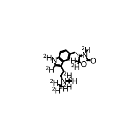 [2H]c1c(CCN(C([2H])([2H])[2H])C([2H])([2H])[2H])c2cc(C[C@@H]3N([2H])C(=O)OC3([2H])[2H])ccc2n1[2H]